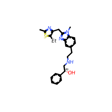 CCc1sc(C)nc1Cc1nc2cc(CCNC[C@H](O)c3ccccc3)ccc2n1C